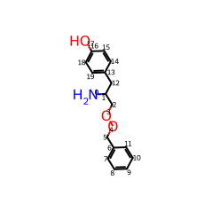 NC(COOCc1ccccc1)Cc1ccc(O)cc1